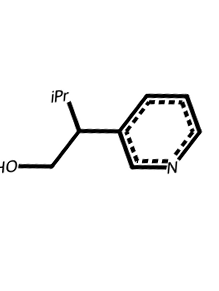 CC(C)C(CO)c1cccnc1